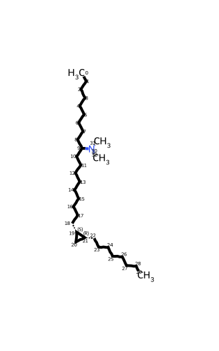 CCCCCCCCCC(CCCCCCCCC[C@H]1C[C@H]1CCCCCCCC)N(C)C